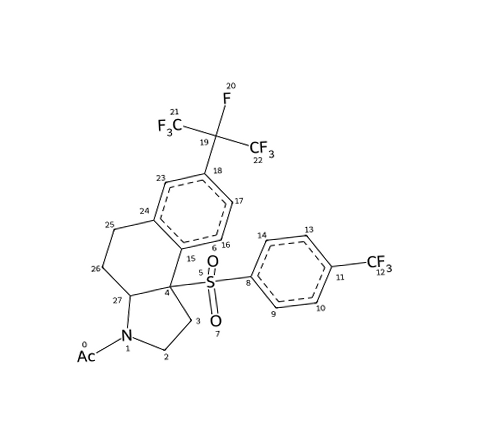 CC(=O)N1CCC2(S(=O)(=O)c3ccc(C(F)(F)F)cc3)c3ccc(C(F)(C(F)(F)F)C(F)(F)F)cc3CCC12